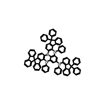 c1ccc(N(c2cc3c4c(c2)N(c2ccccc2)c2c(ccc5c2-c2ccccc2C52c5ccccc5-c5ccccc52)B4c2ccc4c(c2N3c2ccccc2)-c2ccccc2C4(c2ccccc2)c2ccccc2)c2cccc3c2-c2ccccc2C3(c2ccccc2)c2ccccc2)cc1